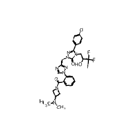 CN(C)C1CN(C(=O)c2ccccc2-n2cnc(Cn3nc(-c4ccc(Cl)cc4)n(CC(O)C(F)(F)F)c3=O)n2)C1